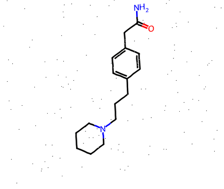 NC(=O)Cc1ccc(CCCN2CCCCC2)cc1